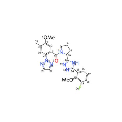 COc1cc(C(=O)N2CCCC2c2nnc(-c3cccc(F)c3OC)[nH]2)c(-n2nccn2)cc1C